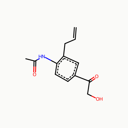 C=CCc1cc(C(=O)CO)ccc1NC(C)=O